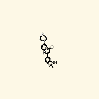 Cc1nc2ccc(-c3cc(=O)n4cc(N5CCN(C)CC5)ccc4n3)cc2[nH]1